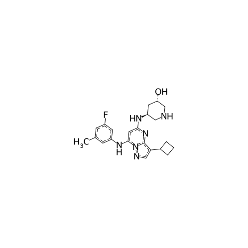 Cc1cc(F)cc(Nc2cc(N[C@@H]3CNC[C@@H](O)C3)nc3c(C4CCC4)cnn23)c1